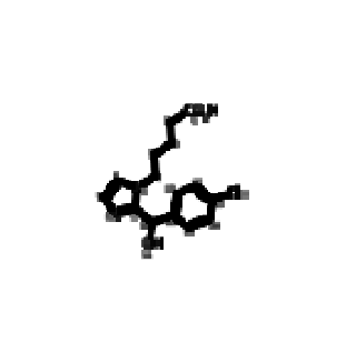 O=C(O)CCCCn1ccnc1C(O)c1ccc(Cl)cc1